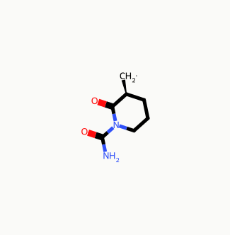 [CH2][C@H]1CCCN(C(N)=O)C1=O